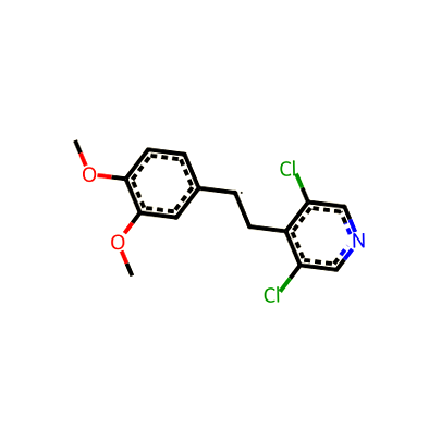 COc1ccc([CH]Cc2c(Cl)cncc2Cl)cc1OC